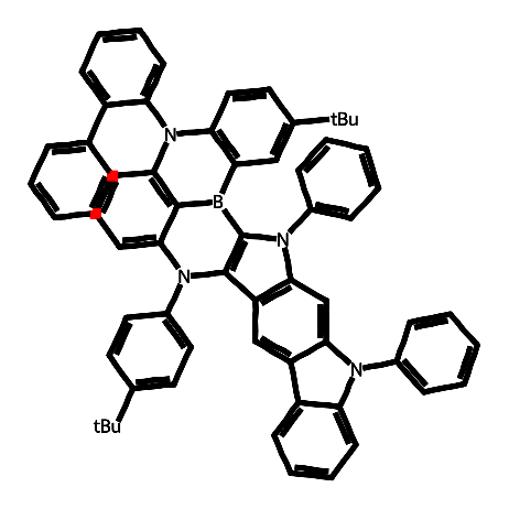 CC(C)(C)c1ccc(N2c3cccc4c3B(c3cc(C(C)(C)C)ccc3N4c3ccccc3-c3ccccc3)c3c2c2cc4c5ccccc5n(-c5ccccc5)c4cc2n3-c2ccccc2)cc1